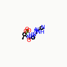 C#Cc1ccc(OS(=O)(=O)F)cc1CNC(=O)c1cccc(NCc2nnc(-c3ccncc3)[nH]2)c1